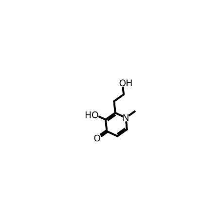 Cn1ccc(=O)c(O)c1CCO